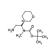 CN(C(=O)OC(C)(C)C)C(CN)[C@H]1CCCOC1